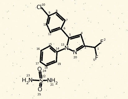 FC(F)c1cc(-c2ccc(Cl)cc2)n(-c2ccccc2)n1.NS(N)(=O)=O